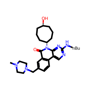 CCCCNc1ncc2c3ccc(CN4CCN(C)CC4)cc3c(=O)n([C@H]3CCC[C@H](O)CCC3)c2n1